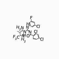 CC(C(N)N/C(=N\C(=O)c1ccc(Cl)cc1Cl)Nc1cc(F)cc(Cl)c1)C(N)C(F)(F)F